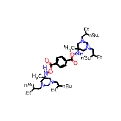 CCCCC(CC)CN1CN(CC(CC)CCCC)CC(C)(NOC(=O)c2ccc(C(=O)ONC3(C)CN(CC(CC)CCCC)CN(CC(CC)CCCC)C3)cc2)C1